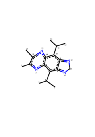 Cc1nc2c(C(C)C)c3c(c(C(C)C)c2nc1C)=NCN=3